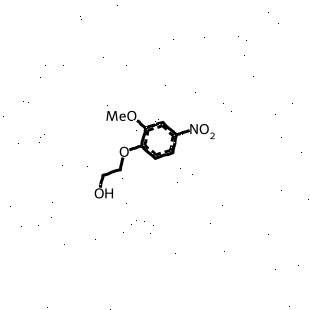 COc1cc([N+](=O)[O-])ccc1OCCO